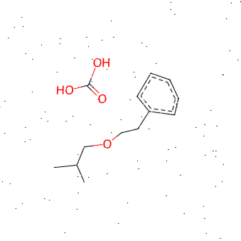 CC(C)COCCc1ccccc1.O=C(O)O